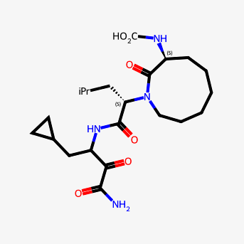 CC(C)C[C@@H](C(=O)NC(CC1CC1)C(=O)C(N)=O)N1CCCCCC[C@H](NC(=O)O)C1=O